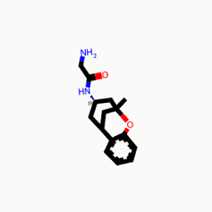 CC12CC(C[C@H](NC(=O)CN)C1)c1ccccc1O2